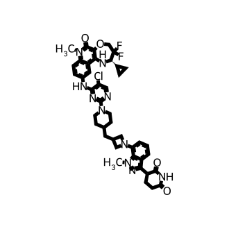 Cn1nc(C2CCC(=O)NC2=O)c2cccc(N3CC(CC4CCN(c5ncc(Cl)c(Nc6ccc7c(c6)c6c(c(=O)n7C)OCC(F)(F)[C@H](C7CC7)N6)n5)CC4)C3)c21